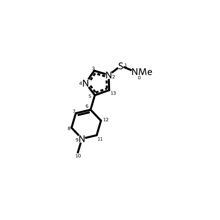 CNSn1cnc(C2=CCN(C)CC2)c1